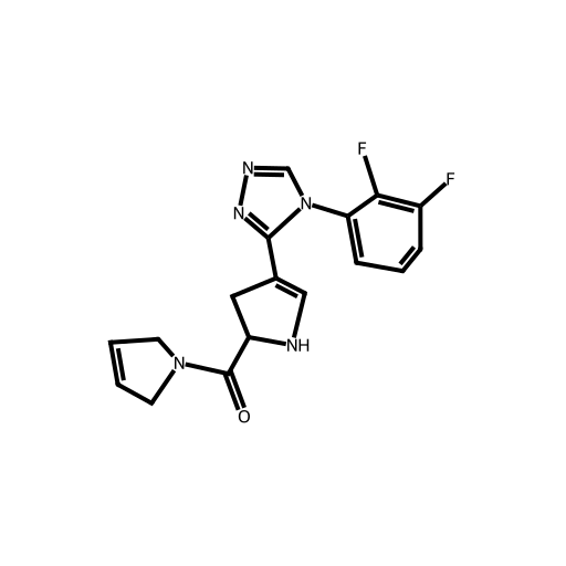 O=C(C1CC(c2nncn2-c2cccc(F)c2F)=CN1)N1CC=CC1